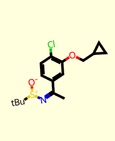 C/C(=N/[S+]([O-])C(C)(C)C)c1ccc(Cl)c(OCC2CC2)c1